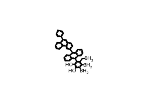 BCc1c(B)c(B)c(O)c(O)c1-c1c2ccccc2c(-c2ccc3cc(-c4ccccc4)c4ccccc4c3c2)c2ccccc12